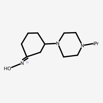 CC(C)N1CCN(C2CCC/C(=N\O)C2)CC1